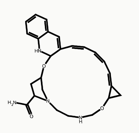 NC(=O)C1CC2CN1CCNCOC1CC1=CC=CC=CC1=Cc3ccccc3NC1O2